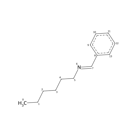 CCCCCC/N=C/c1ccccc1